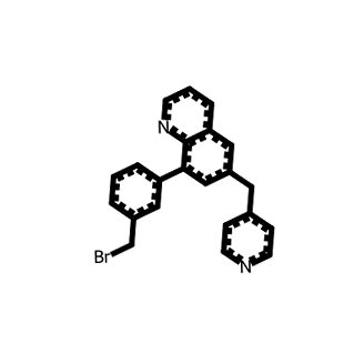 BrCc1cccc(-c2cc(Cc3ccncc3)cc3cccnc23)c1